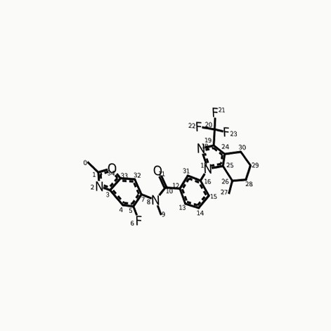 Cc1nc2cc(F)c(N(C)C(=O)c3cccc(-n4nc(C(F)(F)F)c5c4C(C)CCC5)c3)cc2o1